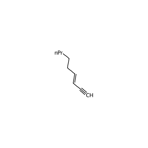 C#C/C=C/CCCC[CH2]